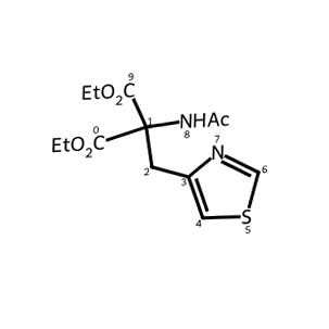 CCOC(=O)C(Cc1cscn1)(NC(C)=O)C(=O)OCC